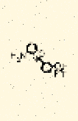 Nc1cccc2oc(-c3cccc(OC(F)(F)F)c3)nc12